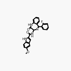 COc1ccc2[nH]c(C(=O)NC3N=C(c4ccccc4F)c4ccccc4NC3=O)cc2c1